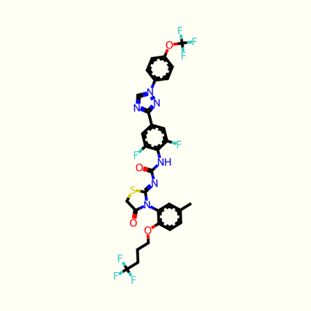 Cc1ccc(OCCCC(F)(F)F)c(N2C(=O)CSC2=NC(=O)Nc2c(F)cc(-c3ncn(-c4ccc(OC(F)(F)F)cc4)n3)cc2F)c1